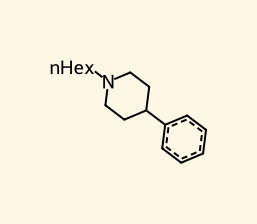 [CH2]CCCCCN1CCC(c2ccccc2)CC1